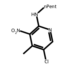 CCCCCNc1ncc(Cl)c(C)c1[N+](=O)[O-]